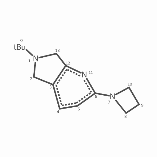 CC(C)(C)N1Cc2ccc(N3CCC3)nc2C1